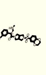 CNC[C@@H](C(=O)N1CC2=C(C1)CN(S(=O)(=O)c1ccc3c(c1)OCCO3)C2)c1cccc(Cl)c1